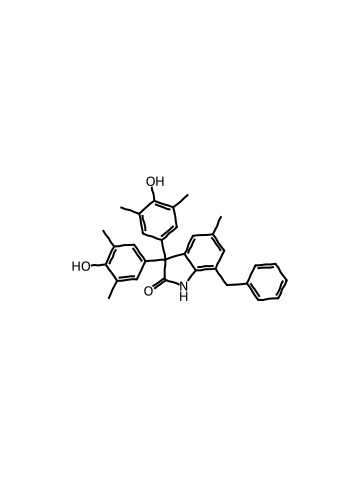 Cc1cc(Cc2ccccc2)c2c(c1)C(c1cc(C)c(O)c(C)c1)(c1cc(C)c(O)c(C)c1)C(=O)N2